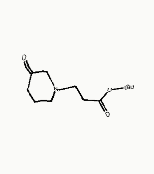 CC(C)(C)OC(=O)CCN1CCCC(=O)C1